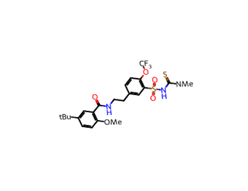 CNC(=S)NS(=O)(=O)c1cc(CCNC(=O)c2cc(C(C)(C)C)ccc2OC)ccc1OC(F)(F)F